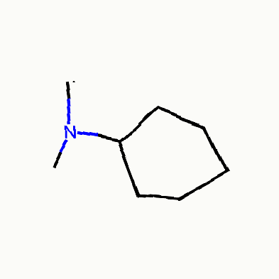 [CH2]N(C)C1CCCCC1